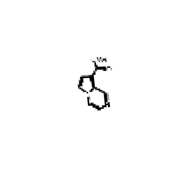 COC(=O)c1ccn2ccncc12